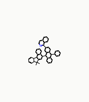 CC1(C)c2cc(-c3c4ccccc4c(-c4ccccc4)c4ccc(-c5nccc6ccccc56)cc34)c3ccccc3c2C2C=CC=CC21